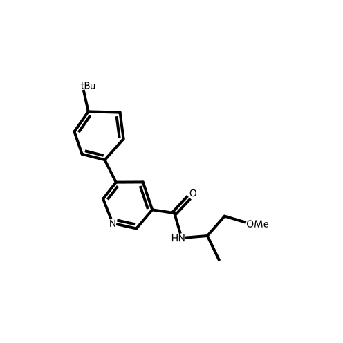 COCC(C)NC(=O)c1cncc(-c2ccc(C(C)(C)C)cc2)c1